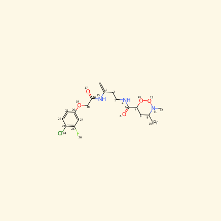 C=C(CCNC(=O)C1CC(C(C)C)N(C)OO1)NC(=O)COc1ccc(Cl)c(F)c1